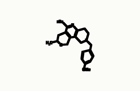 CCCCc1nc2c(c3c1CC(C)OC3)CN(Cc1ccc(OC)cc1)CC2